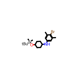 Cc1cc(NC2CCC(O[Si](C)(C)C(C)(C)C)CC2)cc(C)c1Br